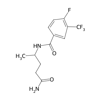 CC(CCC(N)=O)NC(=O)c1ccc(F)c(C(F)(F)F)c1